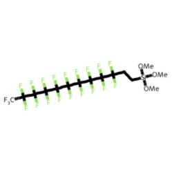 CO[Si](CCC(F)(F)C(F)(F)C(F)(F)C(F)(F)C(F)(F)C(F)(F)C(F)(F)C(F)(F)C(F)(F)C(F)(F)F)(OC)OC